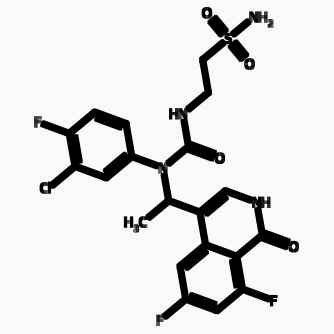 CC(c1c[nH]c(=O)c2c(F)cc(F)cc12)N(C(=O)NCCS(N)(=O)=O)c1ccc(F)c(Cl)c1